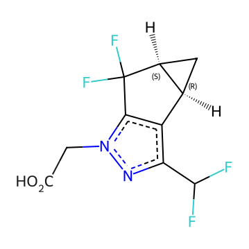 O=C(O)Cn1nc(C(F)F)c2c1C(F)(F)[C@H]1C[C@@H]21